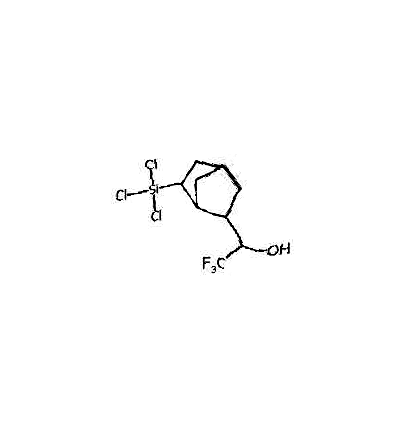 OC(C1CC2CC1C([Si](Cl)(Cl)Cl)C2)C(F)(F)F